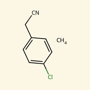 C.N#CCc1ccc(Cl)cc1